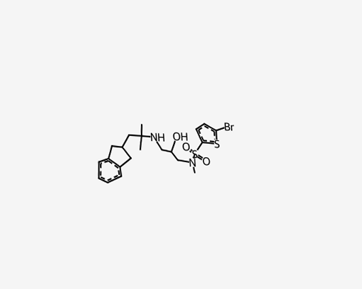 CN(CC(O)CNC(C)(C)CC1Cc2ccccc2C1)S(=O)(=O)c1ccc(Br)s1